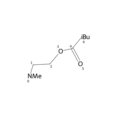 [CH2-][NH2+]CCOC(=O)C(C)CC